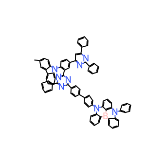 Cc1ccc2c(c1)c1ccccc1n2-c1ccc(-c2cc(-c3ccccc3)nc(-c3ccccc3)n2)cc1-c1nc(-c2ccccc2)nc(-c2ccc(-c3ccc(N4c5ccccc5B5c6ccccc6N(c6ccccc6)c6cccc4c65)cc3)cc2)n1